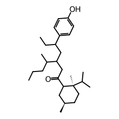 CCCC(C)C(CC(=O)C1C[C@H](C)CC[C@]1(C)C(C)C)CC(CC)c1ccc(O)cc1